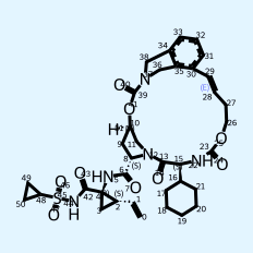 C=C[C@@H]1C[C@]1(NC(=O)[C@@H]1C[C@@H]2CN1C(=O)[C@H](C1CCCCC1)NC(=O)OCC/C=C/c1cccc3c1CN(C3)C(=O)O2)C(=O)NS(=O)(=O)C1CC1